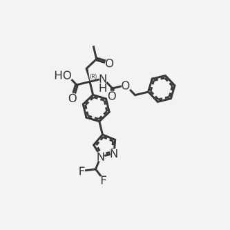 CC(=O)C[C@](NC(=O)OCc1ccccc1)(C(=O)O)c1ccc(-c2cnn(C(F)F)c2)cc1